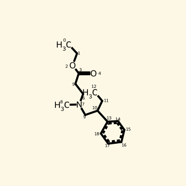 CCOC(=O)CCN(C)CC(CC)c1ccccc1